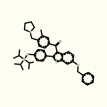 Cc1cc(C(=O)c2c(-c3ccc(O[Si](C(C)C)(C(C)C)C(C)C)cc3)sc3cc(OCc4ccccc4)ccc23)ccc1CN1CCCC1